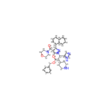 O=C(OCc1ccccc1)C(C1CCNCC1)C(c1cnc[nH]1)n1cc(C(=O)N2CCOCC2)c(-c2cccc3ccccc23)n1